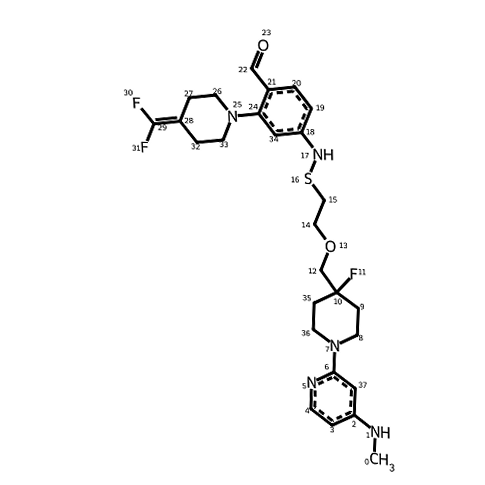 CNc1ccnc(N2CCC(F)(COCCSNc3ccc(C=O)c(N4CCC(=C(F)F)CC4)c3)CC2)c1